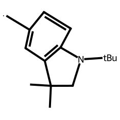 [CH2]c1ccc2c(c1)C(C)(C)CN2C(C)(C)C